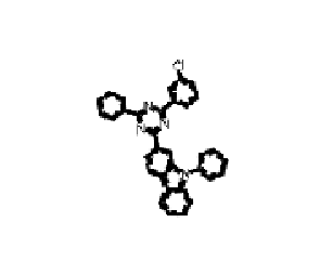 Clc1cccc(-c2nc(-c3ccccc3)nc(-c3ccc4c5ccccc5n(-c5ccccc5)c4c3)n2)c1